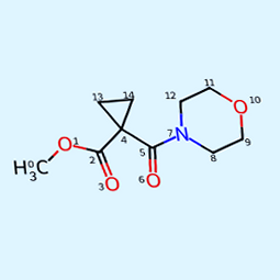 COC(=O)C1(C(=O)N2CCOCC2)CC1